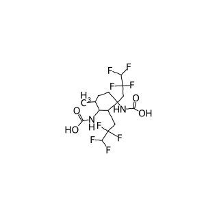 CC1CCC(CC(F)(F)C(F)F)(NC(=O)O)C(CC(F)(F)C(F)F)C1NC(=O)O